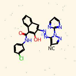 [C-]#[N+]c1cnn(-c2ncccn2)c1/N=N/c1cc2ccccc2c(C(=O)Nc2cccc(Cl)c2)c1O